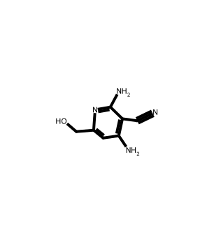 N#Cc1c(N)cc(CO)nc1N